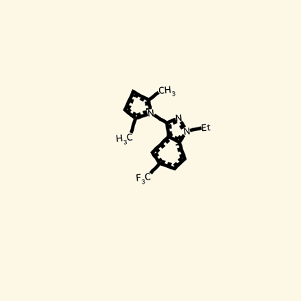 CCn1nc(-n2c(C)ccc2C)c2cc(C(F)(F)F)ccc21